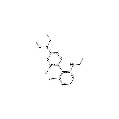 CCNc1cc[c]c(Cl)c1-c1ccc(N(CC)CC)cc1Cl